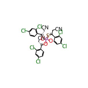 N#CC[C@H](OP(=O)(O[C@@H](CC#N)c1ccc(Cl)cc1Cl)S[C@@H](CC#N)c1ccc(Cl)cc1Cl)c1ccc(Cl)cc1Cl